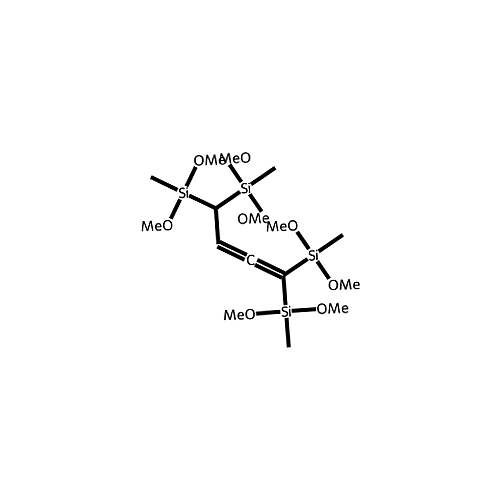 CO[Si](C)(OC)C(=C=CC([Si](C)(OC)OC)[Si](C)(OC)OC)[Si](C)(OC)OC